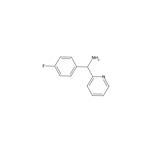 NC(c1ccc(F)cc1)c1ccccn1